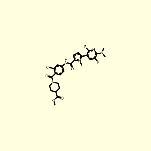 COC(=O)C1CCN(C(=O)c2ccc(NC(=O)c3ccc(-c4cc(F)c(N(C)C)nc4F)n3C)cc2Cl)CC1